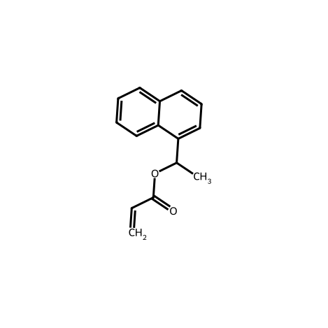 C=CC(=O)OC(C)c1cccc2ccccc12